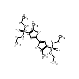 CCOP(=O)(OCC)c1cc(-c2cc(P(=O)(OCC)OCC)c(C)s2)sc1C